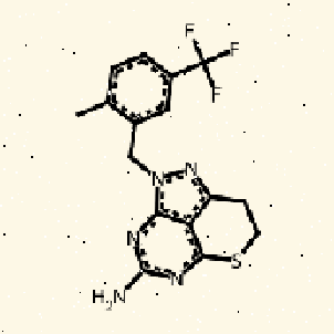 Cc1ccc(C(F)(F)F)cc1Cn1nc2c3c(nc(N)nc31)SCC2